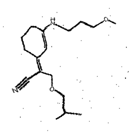 COCCCNC1=C/C(=C(/C#N)COCC(C)C)CCC1